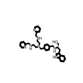 OC[C@@H](Cc1c[nH]c2ccccc12)NCc1ccc(CN(CCNCc2ccccn2)CCNCc2ccccn2)cc1